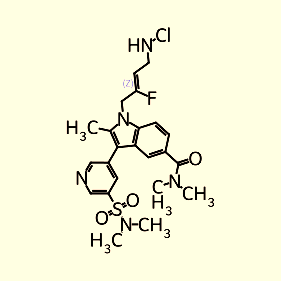 Cc1c(-c2cncc(S(=O)(=O)N(C)C)c2)c2cc(C(=O)N(C)C)ccc2n1C/C(F)=C/CNCl